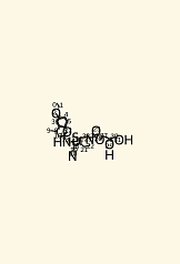 CCOc1cccc(C(C)CC(=O)Nc2sc3c(c2C#N)CCN(C(=O)OCC(O)CO)C3)c1